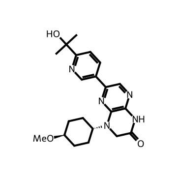 CO[C@H]1CC[C@H](N2CC(=O)Nc3ncc(-c4ccc(C(C)(C)O)nc4)nc32)CC1